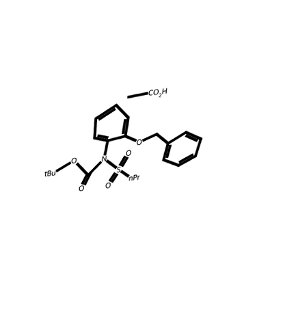 CC(=O)O.CCCS(=O)(=O)N(C(=O)OC(C)(C)C)c1ccccc1OCc1ccccc1